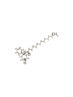 CCCCCCCCCCCCCC(=O)OC1(c2ccccc2)CCNCC1